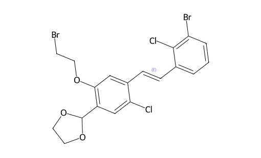 Clc1cc(C2OCCO2)c(OCCBr)cc1/C=C/c1cccc(Br)c1Cl